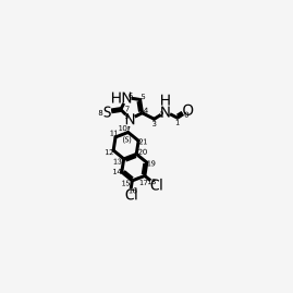 O=CNCc1c[nH]c(=S)n1[C@H]1CCc2cc(Cl)c(Cl)cc2C1